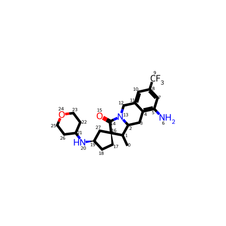 CC1C2Cc3c(N)cc(C(F)(F)F)cc3CN2C(=O)[C@]12CC[C@@H](NC1CCOCC1)C2